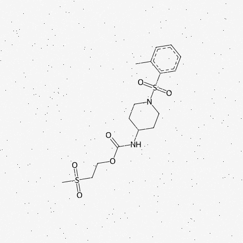 Cc1ccccc1S(=O)(=O)N1CCC(NC(=O)OCCS(C)(=O)=O)CC1